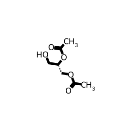 CC(=O)OC[C@H](CO)OC(C)=O